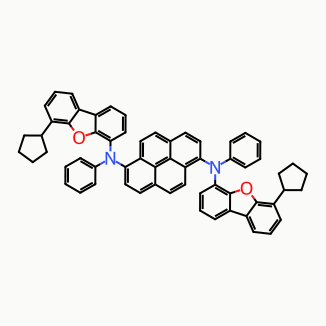 c1ccc(N(c2ccc3ccc4c(N(c5ccccc5)c5cccc6c5oc5c(C7CCCC7)cccc56)ccc5ccc2c3c54)c2cccc3c2oc2c(C4CCCC4)cccc23)cc1